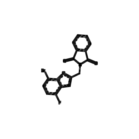 O=C1c2ccccc2C(=O)N1Cc1cc2c(F)ccc(Br)c2o1